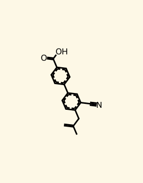 C=C(C)Cc1ccc(-c2ccc(C(=O)O)cc2)cc1C#N